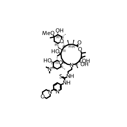 COC1(C)C[C@@H](C[C@H]2[C@H](C)[C@@H](C)[C@@H](C)C(=O)OC(C)C(C)(O)[C@H](O)[C@@H](C)N(CCNC(=S)Nc3ccc(N4CCOCC4)nc3)C[C@@H](C)CC2(O)C[C@@H]2O[C@H](C)C[C@H](N(C)C)[C@@H]2O)O[C@@H](C)[C@H]1O